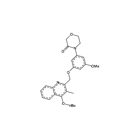 CCCCOc1c(C)c(COc2cc(OC)cc(N3CCOCC3=O)c2)nc2ccccc12